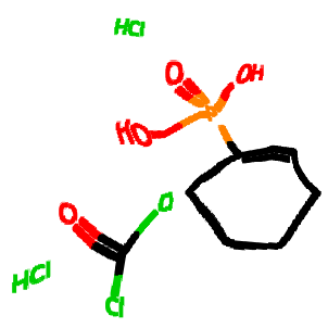 Cl.Cl.O=C(Cl)Cl.O=P(O)(O)C1=CCCCC1